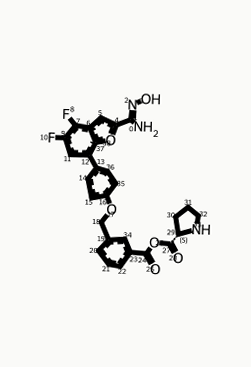 NC(=NO)c1cc2c(F)c(F)cc(-c3ccc(OCc4cccc(C(=O)OC(=O)[C@@H]5CCCN5)c4)cc3)c2o1